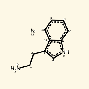 NCCc1c[nH]c2ccccc12.[N]